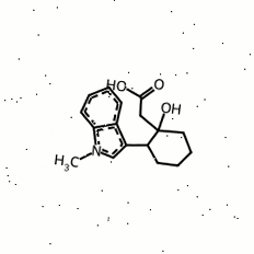 Cn1cc(C2CCCCC2(O)CC(=O)O)c2ccccc21